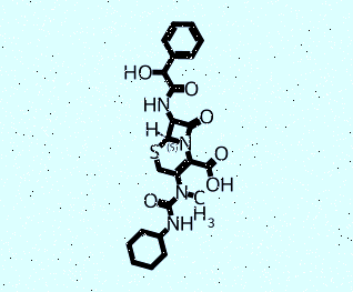 CN(C(=O)NC1CCCCC1)C1=C(C(=O)O)N2C(=O)C(NC(=O)C(O)c3ccccc3)[C@@H]2SC1